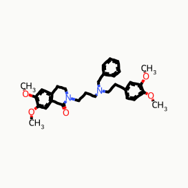 COc1ccc(CCN(CCCN2CCc3cc(OC)c(OC)cc3C2=O)Cc2ccccc2)cc1OC